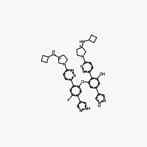 Oc1cc(-c2cn[nH]c2)cc(Oc2cc(-c3cn[nH]c3)c(F)cc2-c2ccc(N3CC[C@H](NC4CCC4)C3)nn2)c1-c1ccc(N2CC[C@@H](NC3CCC3)C2)nn1